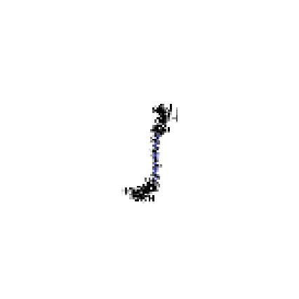 C=C1OC(C(O)C(=O)OC2CC(C)(C)C(/C=C/C(C)=C/C=C/C(C)=C/C=C/C=C(C)/C=C/C=C(C)/C=C/C3=C(C)C(=O)C(OC(=O)C(O)C4OC(=O)C(O)=C4O)CC3(C)C)=C(C)C2=O)C(O)=C1O